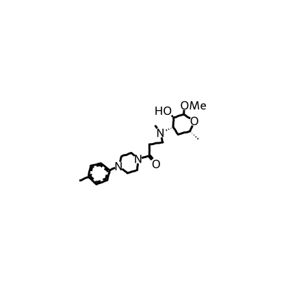 COC1O[C@H](C)C[C@H](N(C)CCC(=O)N2CCN(c3ccc(C)cc3)CC2)[C@H]1O